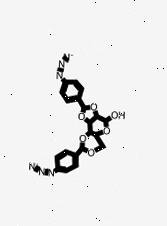 [N-]=[N+]=Nc1ccc(C2OCC3OC(O)C4OC(c5ccc(N=[N+]=[N-])cc5)OC4C3O2)cc1